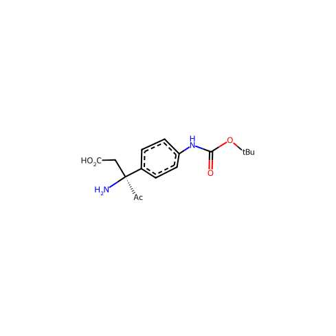 CC(=O)[C@](N)(CC(=O)O)c1ccc(NC(=O)OC(C)(C)C)cc1